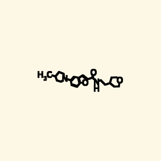 CC1CCN(c2ccc3oc(C(=O)NCCC4CCOCC4)cc3c2)CC1